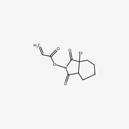 C=CC(=O)ON1C(=O)C2CCCCC2(CC)C1=O